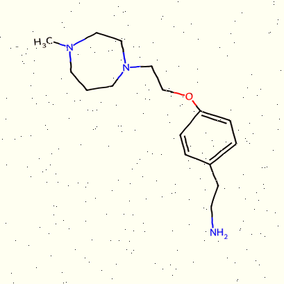 CN1CCCN(CCOc2ccc(CCN)cc2)CC1